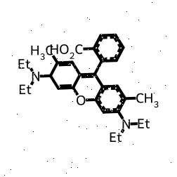 CCN(CC)c1cc2c(cc1C)C(c1ccccc1C(=O)O)=C1C=C(C)C(N(CC)CC)C=C1O2